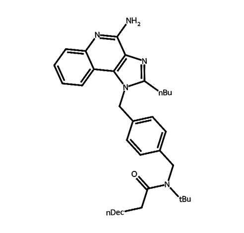 CCCCCCCCCCCC(=O)N(Cc1ccc(Cn2c(CCCC)nc3c(N)nc4ccccc4c32)cc1)C(C)(C)C